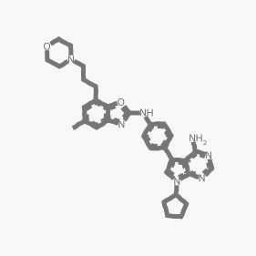 Cc1cc(CCCN2CCOCC2)c2oc(Nc3ccc(-c4cn(C5CCCC5)c5ncnc(N)c45)cc3)nc2c1